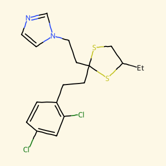 CCC1CSC(CCc2ccc(Cl)cc2Cl)(CCn2ccnc2)S1